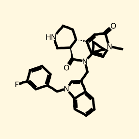 Cn1ccc([C@H]2CCNC[C@@H]2C(=O)N(Cc2cn(Cc3cccc(F)c3)c3ccccc23)C2CC2)cc1=O